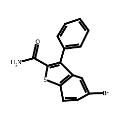 NC(=O)c1sc2ccc(Br)cc2c1-c1ccccc1